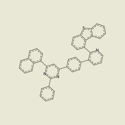 c1ccc(-c2nc(-c3ccc(-c4cccnc4-c4cccc5sc6ccccc6c45)cc3)cc(-c3cccc4ccccc34)n2)cc1